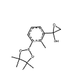 Cc1c(B2OC(C)(C)C(C)(C)O2)cccc1C1(O)CO1